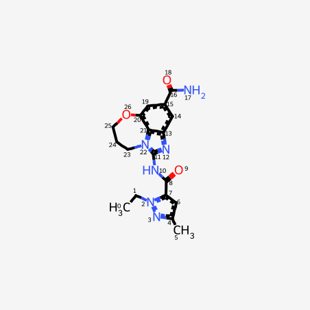 CCn1nc(C)cc1C(=O)Nc1nc2cc(C(N)=O)cc3c2n1CCCO3